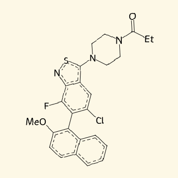 CCC(=O)N1CCN(c2snc3c(F)c(-c4c(OC)ccc5ccccc45)c(Cl)cc23)CC1